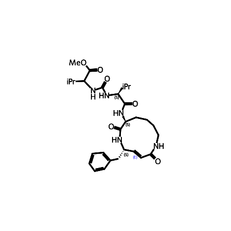 COC(=O)C(NC(=O)N[C@H](C(=O)N[C@H]1CCCCNC(=O)/C=C/[C@H](Cc2ccccc2)NC1=O)C(C)C)C(C)C